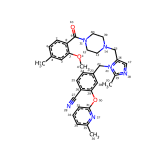 COc1cc(C)ccc1C(=O)N1CCN(Cc2cnc(C)n2Cc2ccc(C#N)c(Oc3cccc(C)n3)c2)CC1